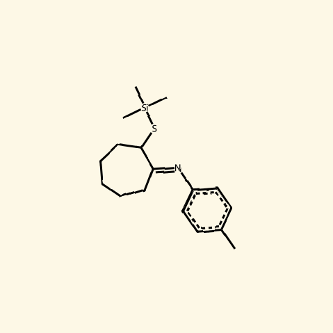 Cc1ccc(N=C2CCCCCC2S[Si](C)(C)C)cc1